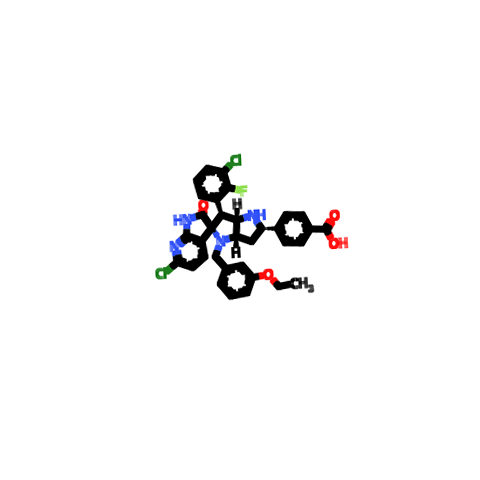 CCOc1cccc(CN2[C@H]3C[C@@H](c4ccc(C(=O)O)cc4)N[C@H]3[C@H](c3cccc(Cl)c3F)[C@]23C(=O)Nc2nc(Cl)ccc23)c1